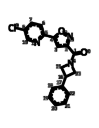 O=C(c1cc(-c2ccc(Cl)cn2)on1)N1CC(c2ccccc2)C1